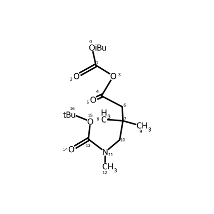 CC(C)COC(=O)OC(=O)CC(C)(C)CN(C)C(=O)OC(C)(C)C